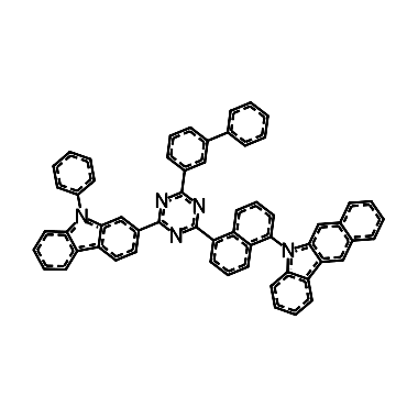 c1ccc(-c2cccc(-c3nc(-c4ccc5c6ccccc6n(-c6ccccc6)c5c4)nc(-c4cccc5c(-n6c7ccccc7c7cc8ccccc8cc76)cccc45)n3)c2)cc1